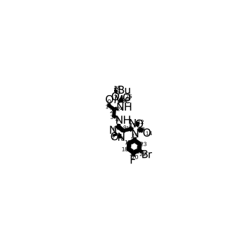 COCC(CNc1nonc1-c1noc(=O)n1-c1ccc(F)c(Br)c1)NC(=O)OC(C)(C)C